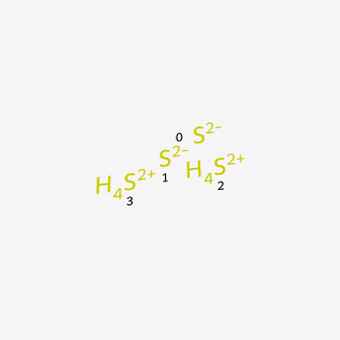 [S-2].[S-2].[SH4+2].[SH4+2]